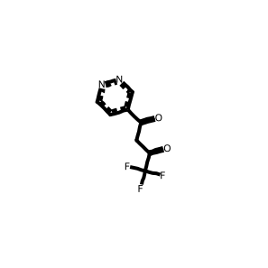 O=C(CC(=O)C(F)(F)F)c1ccnnc1